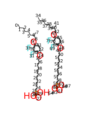 CCCCCCC(C)COc1ccc(OCCCCCCCCCCCP(=O)(O)O)c(F)c1F.CCCCCCC(C)COc1ccc(OCCCCCCCCCCCP(=O)(OCC)OCC)c(F)c1F